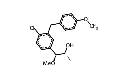 CO[C@@H](c1ccc(Cl)c(Cc2ccc(OC(F)(F)F)cc2)c1)[C@@H](C)O